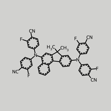 CC1(C)c2cc(N(c3ccc(C#N)c(F)c3)c3ccc(C#N)c(F)c3)ccc2-c2c1cc(N(c1ccc(C#N)c(F)c1)c1ccc(C#N)c(F)c1)c1ccccc21